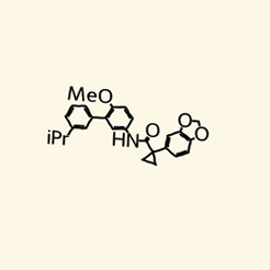 COc1ccc(NC(=O)C2(c3ccc4c(c3)OCO4)CC2)cc1-c1cccc(C(C)C)c1